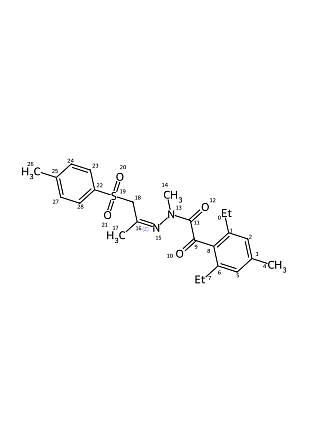 CCc1cc(C)cc(CC)c1C(=O)C(=O)N(C)/N=C(/C)CS(=O)(=O)c1ccc(C)cc1